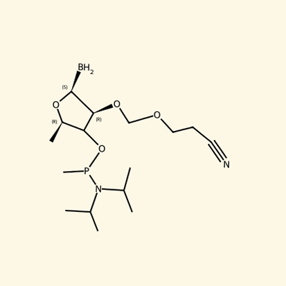 B[C@@H]1O[C@H](C)C(OP(C)N(C(C)C)C(C)C)[C@@H]1OCOCCC#N